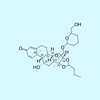 CCCC1O[C@H]2C[C@H]3[C@@H]4CCC5=CC(=O)C=C[C@]5(C)[C@H]4[C@@H](O)C[C@]3(C)[C@]2(C(=O)COC2CCCC(CO)O2)O1